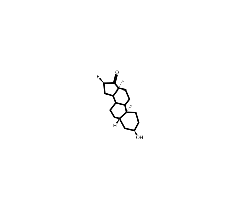 C[C@]12CCC3C(CC[C@H]4C[C@H](O)CC[C@]34C)C1C[C@@H](F)C2=O